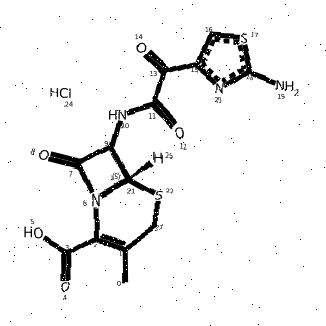 CC1=C(C(=O)O)N2C(=O)C(NC(=O)C(=O)c3csc(N)n3)[C@@H]2SC1.Cl